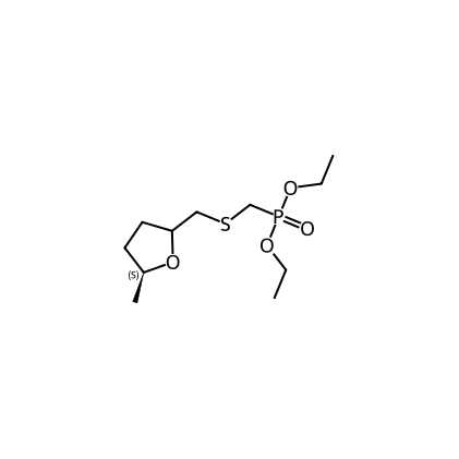 CCOP(=O)(CSCC1CC[C@H](C)O1)OCC